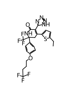 CCc1ccc(C2=C(c3nnn[nH]3)C(=O)NC(c3ccc(OCCCC(F)(F)F)cc3)(C(F)(F)F)C2)s1